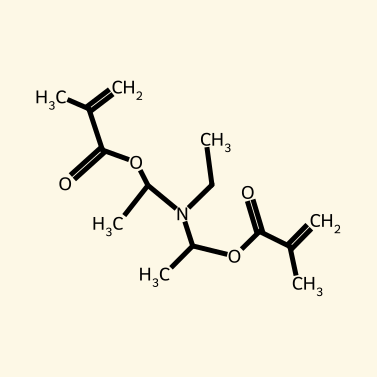 C=C(C)C(=O)OC(C)N(CC)C(C)OC(=O)C(=C)C